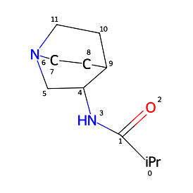 CC(C)C(=O)NC1CN2CCC1CC2